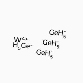 [GeH5-].[GeH5-].[GeH5-].[GeH5-].[W+4]